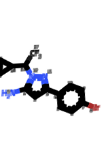 Nc1cc(-c2ccc(Br)cc2)nn1C(C1CC1)C(F)(F)F